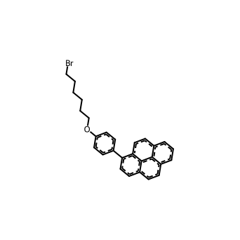 BrCCCCCCOc1ccc(-c2ccc3ccc4cccc5ccc2c3c45)cc1